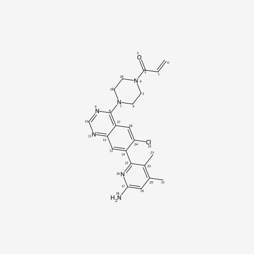 C=CC(=O)N1CCN(c2ncnc3cc(-c4nc(N)cc(C)c4C)c(Cl)cc23)CC1